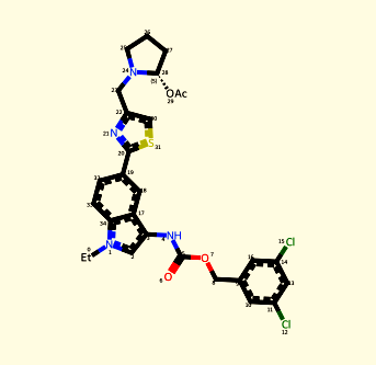 CCn1cc(NC(=O)OCc2cc(Cl)cc(Cl)c2)c2cc(-c3nc(CN4CCC[C@@H]4OC(C)=O)cs3)ccc21